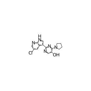 Oc1cnc(-c2c[nH]c3ncc(Cl)cc23)nc1N1CCCC1